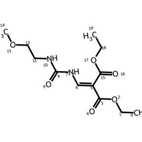 CCOC(=O)C(=CNC(=O)NCCOC)C(=O)OCC